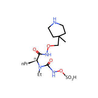 CCC[C@@H](C(=O)NOCC1(C)CCNCC1)N(CC)C(=O)NOS(=O)(=O)O